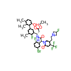 CCOC(=O)C[C@H](NC(=O)C(c1cc(Br)ccc1F)n1cc(CCN2CC(F)C2)c(C(F)(F)F)cc1=O)c1cc(-c2c(O)ccc(C)c2C)cc(C)c1F